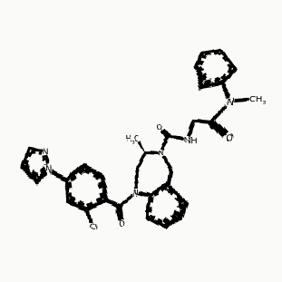 C[C@@H]1CN(C(=O)c2ccc(-n3cccn3)cc2Cl)c2ccccc2CN1C(=O)NCC(=O)N(C)c1ccccc1